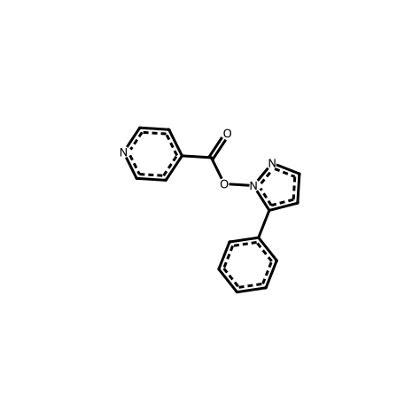 O=C(On1nccc1-c1ccccc1)c1ccncc1